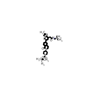 Cc1cn2nc(-c3ccc4c(=O)n(C5CCN(C(=O)OC(C)(C)C)CC5)ccc4c3)cc(CC(=O)/N=C/N(C)C)c2n1